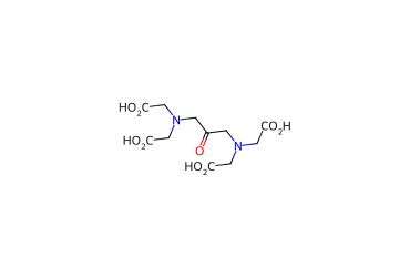 O=C(O)CN(CC(=O)O)CC(=O)CN(CC(=O)O)CC(=O)O